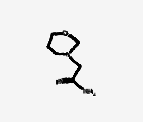 N=C(N)CN1CCCOC1